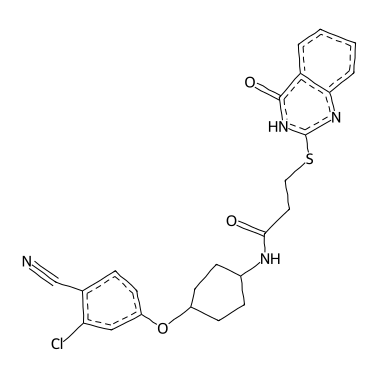 N#Cc1ccc(OC2CCC(NC(=O)CCSc3nc4ccccc4c(=O)[nH]3)CC2)cc1Cl